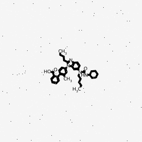 CCCCCN(C(=O)NC1CCCCC1)c1ccc2nc(CCCC)n(-c3ccc(-c4ccccc4C(=O)O)c(C)c3)c2c1